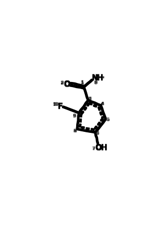 [NH]C(=O)c1ccc(O)cc1F